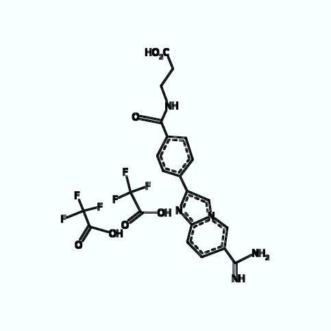 N=C(N)c1ccc2nc(-c3ccc(C(=O)NCCC(=O)O)cc3)cn2c1.O=C(O)C(F)(F)F.O=C(O)C(F)(F)F